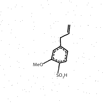 C=CCc1ccc(S(=O)(=O)O)c(OC)c1